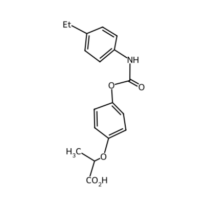 CCc1ccc(NC(=O)Oc2ccc(OC(C)C(=O)O)cc2)cc1